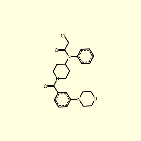 O=C(c1cccc(N2CCOCC2)c1)N1CCC(N(C(=O)CCl)c2ccccc2)CC1